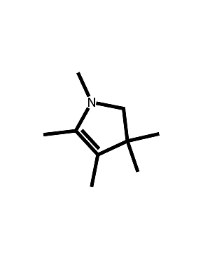 CC1=C(C)C(C)(C)CN1C